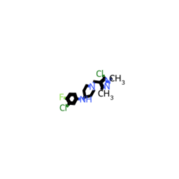 Cc1nn(C)c(Cl)c1CN1CCC(Nc2ccc(F)c(Cl)c2)CC1